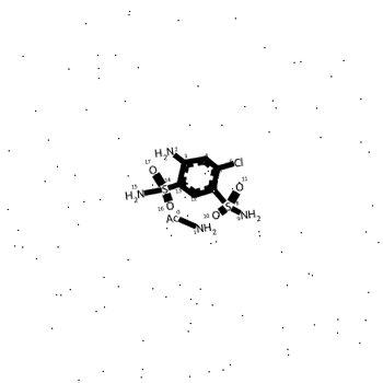 CC(N)=O.Nc1cc(Cl)c(S(N)(=O)=O)cc1S(N)(=O)=O